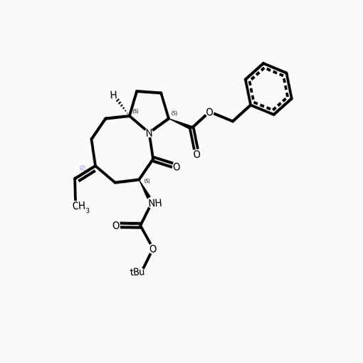 C/C=C1/CC[C@H]2CC[C@@H](C(=O)OCc3ccccc3)N2C(=O)[C@@H](NC(=O)OC(C)(C)C)C1